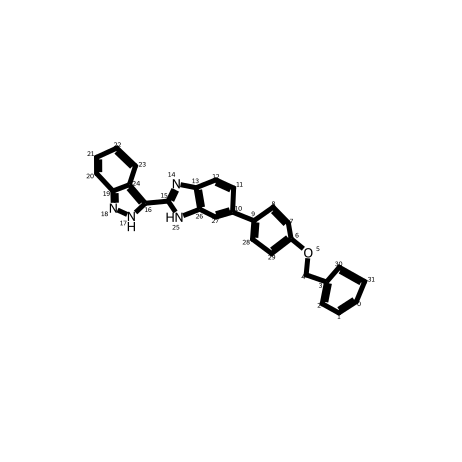 c1ccc(COc2ccc(-c3ccc4nc(-c5[nH]nc6ccccc56)[nH]c4c3)cc2)cc1